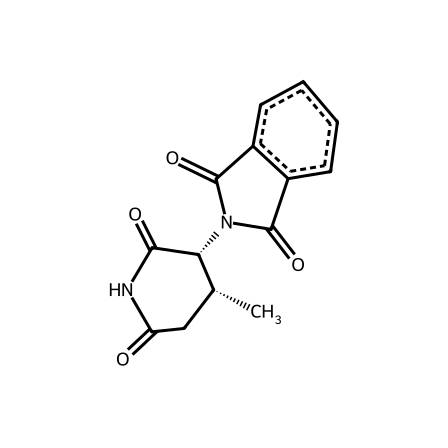 C[C@@H]1CC(=O)NC(=O)[C@@H]1N1C(=O)c2ccccc2C1=O